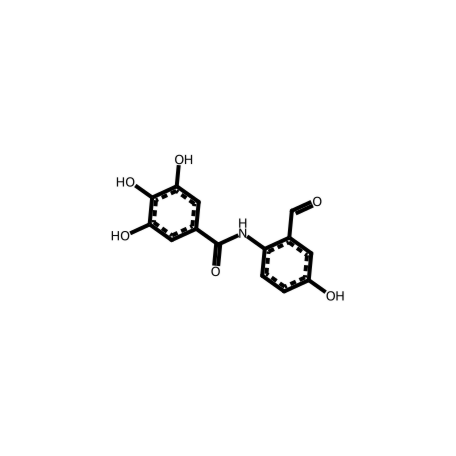 O=Cc1cc(O)ccc1NC(=O)c1cc(O)c(O)c(O)c1